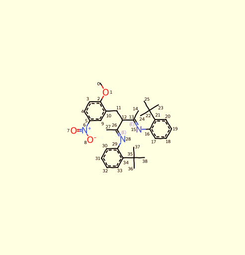 COc1ccc([N+](=O)[O-])cc1CC(/C(C)=N/c1ccccc1C(C)(C)C)/C(C)=N/c1ccccc1C(C)(C)C